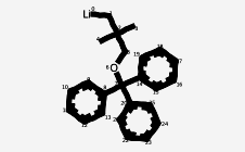 [Li][CH2]C(C)(C)COC(c1ccccc1)(c1ccccc1)c1ccccc1